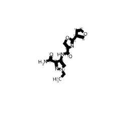 CCn1cc(NC(=O)c2coc(-c3ccoc3)n2)c(C(N)=O)n1